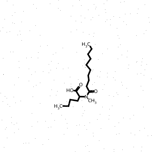 CCCCCCCCCC(=O)N(C)C(CCCC)C(=O)O